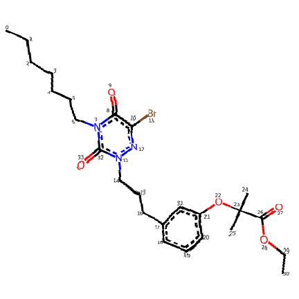 CCCCCCCn1c(=O)c(Br)nn(CCCc2cccc(OC(C)(C)C(=O)OCC)c2)c1=O